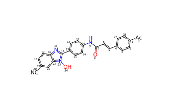 CC(=O)c1ccc(/C=C/C(=O)Nc2ccc(-c3nc4ccc(C#N)cc4n3O)cc2)cc1